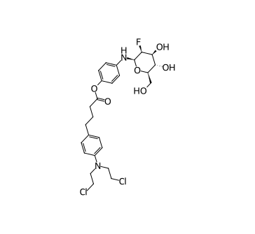 O=C(CCCc1ccc(N(CCCl)CCCl)cc1)Oc1ccc(N[C@@H]2O[C@H](CO)[C@@H](O)[C@H](O)[C@@H]2F)cc1